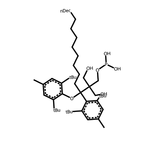 CCCCCCCCCCCCCCCCCCC(Oc1c(C(C)(C)C)cc(C)cc1C(C)(C)C)(c1c(C(C)(C)C)cc(C)cc1C(C)(C)C)C(CO)(CO)COP(O)O